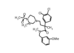 COc1cccc(CN(C)C(=O)C(C)(CCN2CCN(S(C)(=O)=O)[C@H](C)C2)c2ccc(Cl)c(Cl)c2)c1